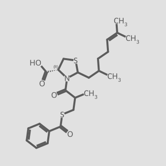 CC(C)=CCCC(C)CC1SC[C@@H](C(=O)O)N1C(=O)C(C)CSC(=O)c1ccccc1